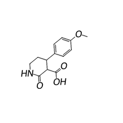 COc1ccc(C2CCNC(=O)C2C(=O)O)cc1